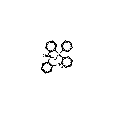 O=S(=O)(OS(c1ccccc1)(c1ccccc1)c1ccccc1)c1ccccc1C(F)(F)F